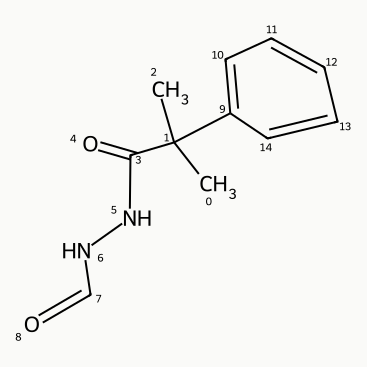 CC(C)(C(=O)NNC=O)c1ccccc1